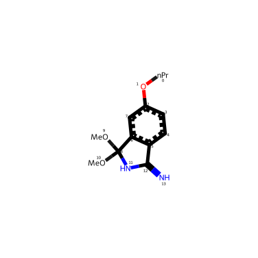 CCCOc1ccc2c(c1)C(OC)(OC)NC2=N